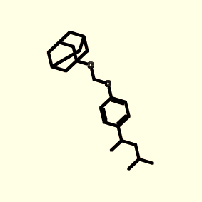 CC(C)CC(C)c1ccc(OCOC23CC4CC(CC(C4)C2)C3)cc1